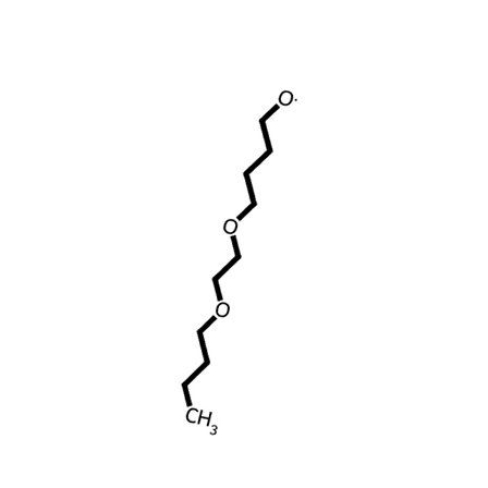 CCCCOCCOCCCC[O]